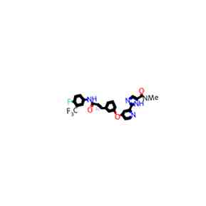 CNC(=O)c1cnc(-c2cc(Oc3cccc(/C=C/C(=O)Nc4ccc(F)c(C(F)(F)F)c4)c3)ccn2)[nH]1